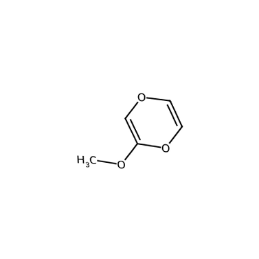 COC1=COC=CO1